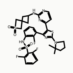 CC1(C)CCCN1c1nc(-c2cccc(NS(=O)(=O)c3c(F)cccc3F)c2F)c(-c2ccnc(NC3CC4(C3)CS(=O)(=O)C4)n2)s1